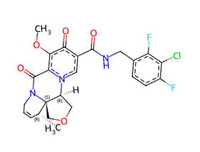 COc1c2n(cc(C(=O)NCc3ccc(F)c(Cl)c3F)c1=O)[C@H]1COC[C@]13[C@H](C)C=CCN3C2=O